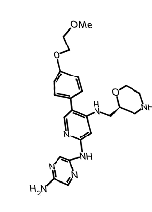 COCCOc1ccc(-c2cnc(Nc3cnc(N)cn3)cc2NC[C@@H]2CNCCO2)cc1